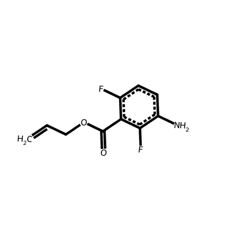 C=CCOC(=O)c1c(F)ccc(N)c1F